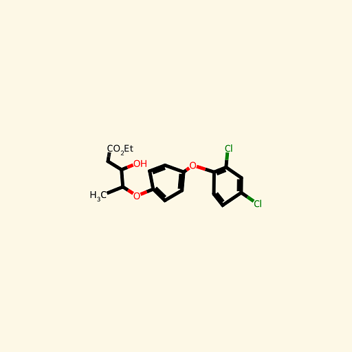 CCOC(=O)CC(O)C(C)Oc1ccc(Oc2ccc(Cl)cc2Cl)cc1